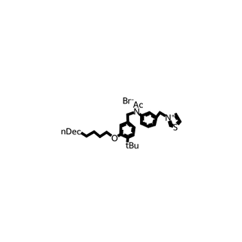 CCCCCCCCCCCCCCOc1cc(CN(C(C)=O)c2cccc(C[n+]3ccsc3)c2)ccc1C(C)(C)C.[Br-]